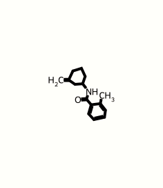 C=C1CCCC(NC(=O)c2ccccc2C)C1